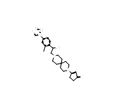 Cc1cc(-n2cnnn2)ccc1C(O)CN1CCC2(CC1)CCN(C1=CC(=O)CC1)CC2